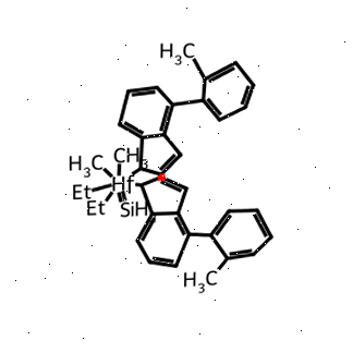 C[CH2][Hf]([CH3])([CH3])(=[SiH2])([CH2]C)([CH]1C=Cc2c(-c3ccccc3C)cccc21)[CH]1C=Cc2c(-c3ccccc3C)cccc21